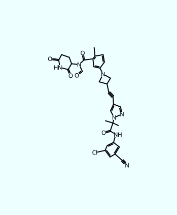 Cc1ccc(N2CC(C#Cc3cnn(C(C)(C)C(=O)Nc4cc(Cl)cc(C#N)c4)c3)C2)cc1C(=O)N(C=O)C1CCC(=O)NC1=O